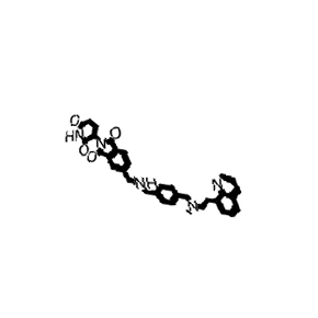 CN(CCc1cccc2cccnc12)Cc1ccc(CNCc2ccc3c(c2)C(=O)N(C2CCC(=O)NC2=O)C3=O)cc1